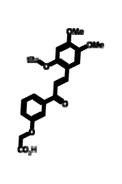 COc1cc(/C=C/C(=O)c2cccc(OCC(=O)O)c2)c(OC(C)(C)C)cc1OC